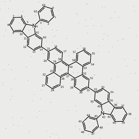 c1ccc(-n2c3ccccc3c3ccc(-c4ccc5c(c4)c4ccccc4c4c6ccc(-c7ccc8c9ccccc9n(-c9ccccc9)c8c7)cc6c6ccccc6c54)cc32)cc1